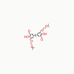 COCc1cc(C(C)(C)c2cc(COC)c(O)c(COCCOC(C)C)c2)cc(COCCOC(C)C)c1O